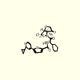 O=C(N[C@H](C(=O)N1C[C@H](Cl)[C@H]2OCC(=O)[C@H]21)C1CCCCC1)c1ccc(-c2ccnc(C3CC3)c2)s1